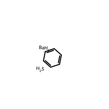 S.[BaH2].[c]1ccccc1